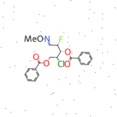 CO/N=C/[C@@H](F)[C@H](OC(=O)c1ccccc1)[C@@H](Cl)COC(=O)c1ccccc1